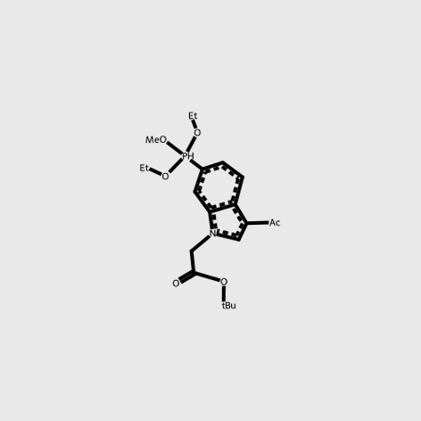 CCO[PH](OC)(OCC)c1ccc2c(C(C)=O)cn(CC(=O)OC(C)(C)C)c2c1